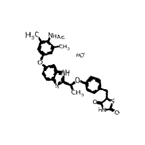 CC(=O)Nc1c(C)cc(Oc2ccc3nc(C(C)Oc4ccc(CC5SC(=O)NC5=O)cc4)[nH]c3c2)cc1C.Cl